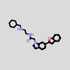 O=C(Cn1ccc2ccc(-c3cc4ccccc4o3)cc21)NCCNCC1CCCCC1